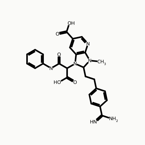 CN1c2ncc(C(=O)O)cc2N(C(C(=O)O)C(=O)[N]c2ccccc2)C1CCc1ccc(C(=N)N)cc1